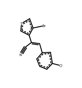 N#C/C(=C\c1cccc(Cl)c1)c1cscc1Br